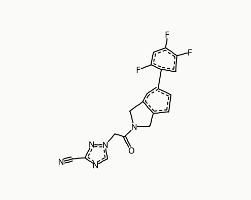 N#Cc1ncn(CC(=O)N2Cc3ccc(-c4cc(F)c(F)cc4F)cc3C2)n1